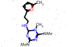 CNC1=NC(NCCc2ccc(C)o2)N(C)C(NC)=N1